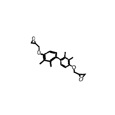 Cc1c(OCC2CO2)ccc(-c2ccc(OCC3CO3)c(C)c2C)c1C